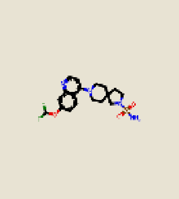 NS(=O)(=O)N1CCC2(CCN(c3ccnc4cc(OC(F)F)ccc34)CC2)C1